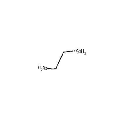 [AsH2]CC[AsH2]